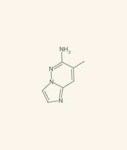 Cc1cc2nccn2nc1N